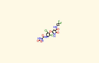 O=C(Nc1cc(Cl)c(Oc2c[nH]c(=O)c(C(=O)NC3CC(F)(F)C3)c2)c(Cl)c1)c1noc(=O)[nH]1